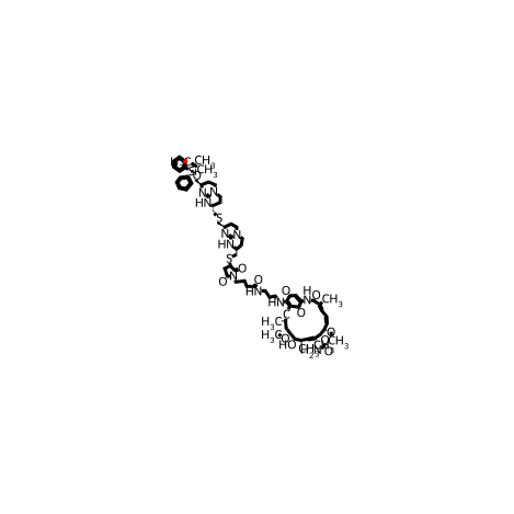 CO[C@H]1/C=C\C=C(/C)C(=O)NC2=CC(=O)C(NCCCNC(=O)CCCN3C(=O)CC(SC[C@H]4CCN5CC[C@H](CSC[C@H]6CCN7CC[C@H](CO[Si](c8ccccc8)(c8ccccc8)C(C)(C)C)N=C7N6)N=C5N4)C3=O)=C(C[C@@H](C)C[C@H](OC)[C@H](O)[C@@H](C)/C=C(\C)[C@@H]1OC(N)=O)C2=O